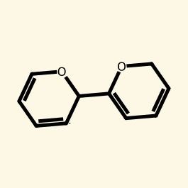 [C]1=CC=CO[C]1C1=CC=CCO1